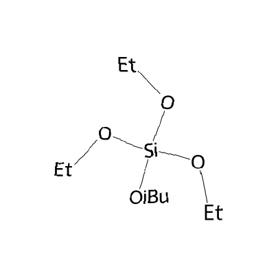 CCO[Si](OCC)(OCC)OCC(C)C